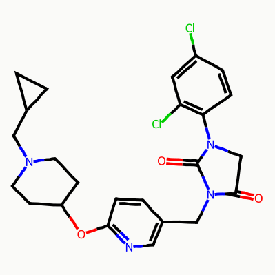 O=C1CN(c2ccc(Cl)cc2Cl)C(=O)N1Cc1ccc(OC2CCN(CC3CC3)CC2)nc1